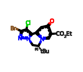 CCOC(=O)c1cn2c(cc1=O)-c1c(Cl)c(Br)nn1C[C@H]2C(C)(C)C